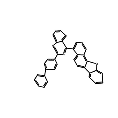 c1ccc(-c2ccc(-c3nc(-c4cccc5c4ccc4c6ccccc6oc54)c4ccccc4n3)cc2)cc1